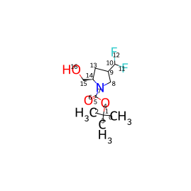 CC(C)(C)OC(=O)N1CC(C(F)F)C[C@@H]1CO